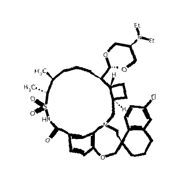 CCN(CC)[C@H]1CO[C@H]([C@@H]2CCC[C@H](C)[C@@H](C)S(=O)(=O)NC(=O)c3ccc4c(c3)N(C[C@@H]3CC[C@H]32)C[C@@]2(CCCc3cc(Cl)ccc32)CO4)OC1